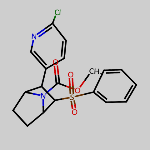 COC(=O)N1C2CCC1C(S(=O)(=O)c1ccccc1)C2c1ccc(Cl)nc1